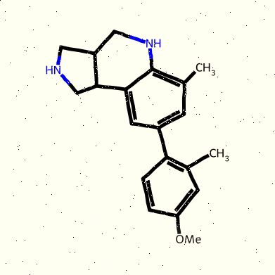 COc1ccc(-c2cc(C)c3c(c2)C2CNCC2CN3)c(C)c1